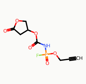 C#CCOP(=O)(F)NC(=O)OC1COC(=O)C1